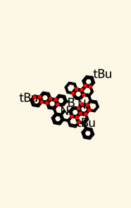 CC(C)(C)c1ccc(-c2ccc3c(c2)N(C2=C(C4=CCCC(c5ccccc5)=C4)CCC=C2C2=CC(C4=CCCCC4)=CCC2)c2cc(C(C)(C)C)cc4c2B3c2ccc(-c3ccc(C(C)(C)C)cc3)cc2N4c2c(-c3cccc(-c4ccccc4)c3)cccc2C2C=CC=C(c3ccccc3)C2)cc1